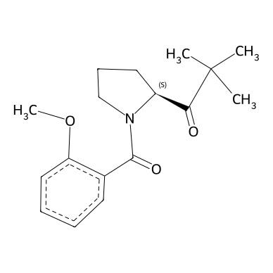 COc1ccccc1C(=O)N1CCC[C@H]1C(=O)C(C)(C)C